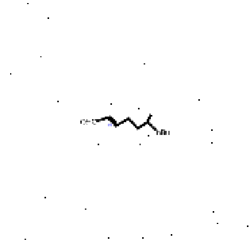 CCCCC(C)CC/C=C/C=O